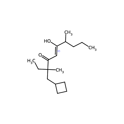 CCCC(C)/C(O)=C/C(=O)C(C)(CC)CC1CCC1